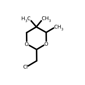 CC1OC(CCl)OCC1(C)C